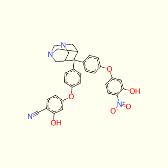 N#Cc1ccc(Oc2ccc(C3(c4ccc(Oc5ccc([N+](=O)[O-])c(O)c5)cc4)C4CN5CC3CN(C4)C5)cc2)cc1O